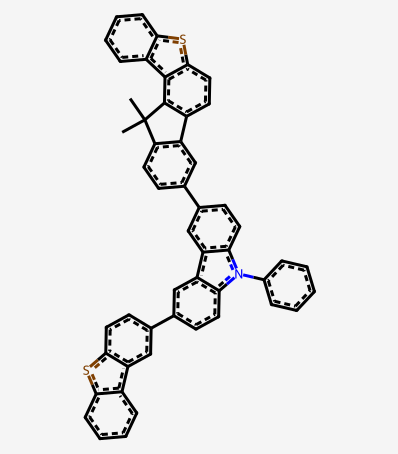 CC1(C)c2ccc(-c3ccc4c(c3)c3cc(-c5ccc6sc7ccccc7c6c5)ccc3n4-c3ccccc3)cc2-c2ccc3sc4ccccc4c3c21